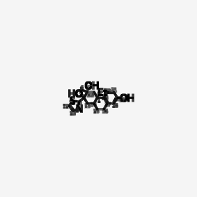 CCC12CC(C)(O)C(O)(c3nccs3)CC1CCc1cc(O)ccc12